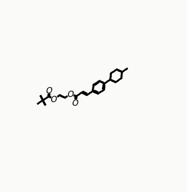 CC1CCC(c2ccc(/C=C/C(=O)OCCOC(=O)C(C)(C)C)cc2)CC1